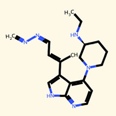 C=N/N=C\C=C(/C)c1c[nH]c2nccc(N3CCC[C@H](NCC)C3)c12